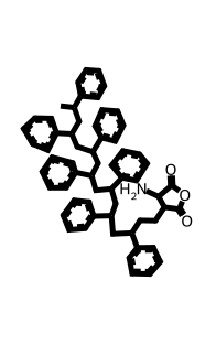 CC(CC(CC(CC(CC(CC(CC(CCC1C(=O)OC(=O)C1N)c1ccccc1)c1ccccc1)c1ccccc1)c1ccccc1)c1ccccc1)c1ccccc1)c1ccccc1